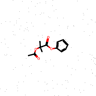 CC(=O)OC(C)(C)C(=O)Oc1ccccc1